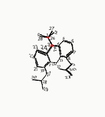 CC(C)Cc1cccc(CC(C)C)c1[CH]c1c(CC(C)C)cccc1CC(C)C